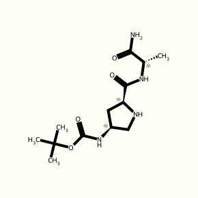 C[C@H](NC(=O)[C@@H]1C[C@H](NC(=O)OC(C)(C)C)CN1)C(N)=O